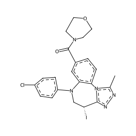 Cc1nnc2n1-c1ccc(C(=O)N3CCOCC3)cc1N(c1ccc(Cl)cc1)C[C@H]2I